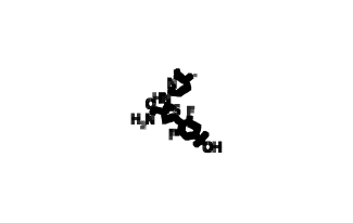 [CH2]c1ccc(Nc2sc(-c3c(F)cc(C(C)(C)O)cc3F)cc2C(N)=O)nc1C